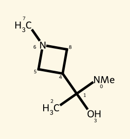 CNC(C)(O)C1CN(C)C1